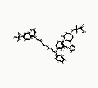 CC(C)(CN1CCN(c2ccc(N(CCCCCCSc3ccnc4cc(C(F)(F)F)ccc34)c3ccccc3)cc2-n2ccnc2)CC1)C(=O)O